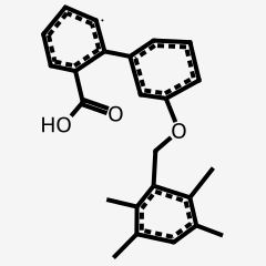 Cc1cc(C)c(C)c(COc2cccc(-c3[c]cccc3C(=O)O)c2)c1C